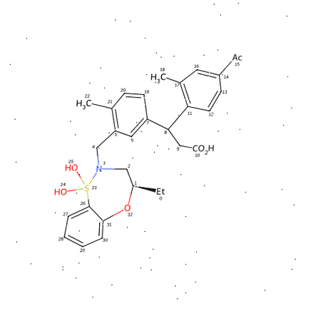 CC[C@@H]1CN(Cc2cc(C(CC(=O)O)c3ccc(C(C)=O)cc3C)ccc2C)S(O)(O)c2ccccc2O1